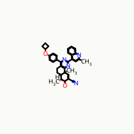 Cc1cc(-c2nc(-c3ccc(OC4CCC4)cc3)c3c(n2)[C@]2(C)C=C(C#N)C(=O)[C@H](C)[C@H]2CC3)c2ccccc2n1